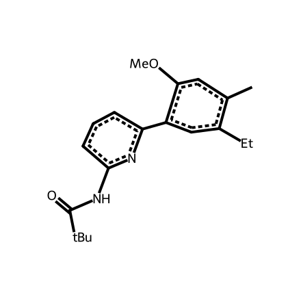 CCc1cc(-c2cccc(NC(=O)C(C)(C)C)n2)c(OC)cc1C